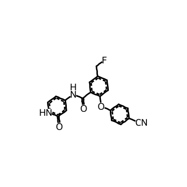 N#Cc1ccc(Oc2ccc(CF)cc2C(=O)Nc2cc[nH]c(=O)c2)cc1